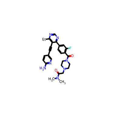 CCc1ncnc(-c2ccc(C(=O)N3CCN(CC(=O)N(C)C)CC3)c(F)c2)c1C#Cc1ccc(N)nc1